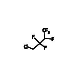 FC(C(F)(F)F)C(F)(F)CCl